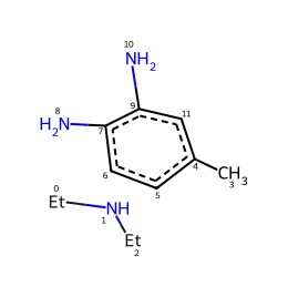 CCNCC.Cc1ccc(N)c(N)c1